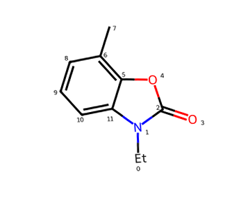 CCn1c(=O)oc2c(C)cccc21